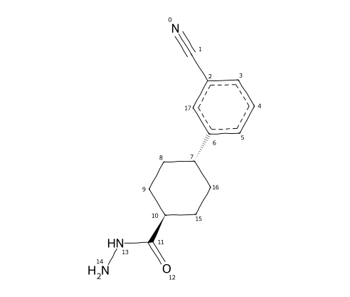 N#Cc1cccc([C@H]2CC[C@H](C(=O)NN)CC2)c1